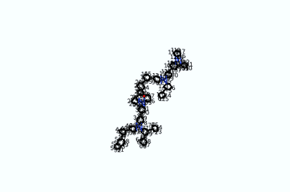 c1ccc(-c2cccc(N(c3ccc(-c4cccc(-c5ccc6cc(-c7cccc8c9cc(-c%10ccc(N(c%11ccc(-c%12cccc(-c%13ccc%14ccccc%14c%13)c%12)cc%11)c%11cc(-c%12ccccc%12)cc(-c%12ccccc%12)c%11)cc%10)ccc9n(-c9ccccc9)c78)ccc6c5)c4)cc3)c3ccc(-c4ccc5c(c4)c4ccccc4n5-c4ccccc4)cc3)c2)cc1